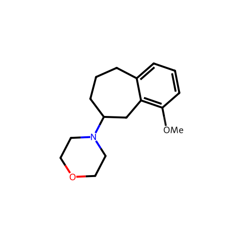 COc1cccc2c1CC(N1CCOCC1)CCC2